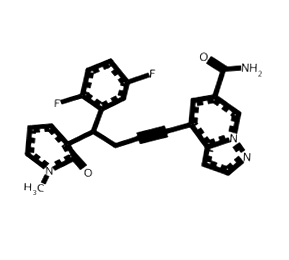 Cn1cccc(C(CC#Cc2cc(C(N)=O)cn3nccc23)c2cc(F)ccc2F)c1=O